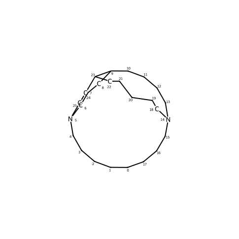 C1CCCCN2CCCC3CCCCN(CCC1)CCCCCC3CC2